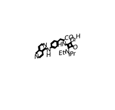 CCN(c1c(N[C@@H](Cc2ccc(Nc3nccc4cnccc34)cc2)C(=O)O)c(=O)c1=O)C(C)C